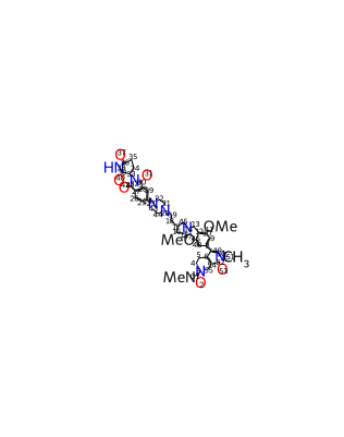 CNC(=O)N1CCc2c(-c3cc(OC)c(CN4CCC(CCN5CCN(c6ccc7c(c6)C(=O)N(C6CCC(=O)NC6=O)C7=O)CC5)C4)c(OC)c3)cn(C)c(=O)c2C1